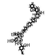 C#Cc1ccc(CNC(=O)[C@@H]2C[C@@H](O)CN2C(=O)[C@@H](NC(=O)N2CC3(CC(N4CCC(c5cnc(N6CCc7[nH]c8nnc(-c9ccccc9O)cc8c7[C@H]6C)nc5)CC4)C3)C2)C(C)(C)C)c(O)c1